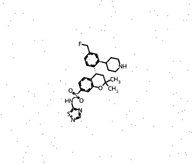 CC1(C)C[C@@H](c2ccc(CF)cc2C2CCNCC2)c2ccc(S(=O)(=O)Nc3ncns3)cc2O1